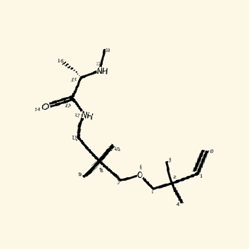 C=CC(C)(C)COCC(C)(C)CNC(=O)[C@H](C)NC